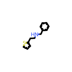 c1ccc(CNCCc2cccs2)cc1